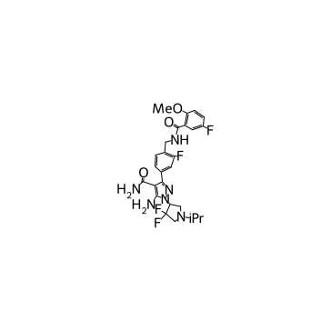 COc1ccc(F)cc1C(=O)NCc1ccc(-c2nn(C3CN(C(C)C)CC3(F)F)c(N)c2C(N)=O)cc1F